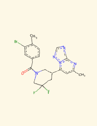 Cc1cc(C2CN(C(=O)c3ccc(C)c(Br)c3)CC(F)(F)C2)n2ncnc2n1